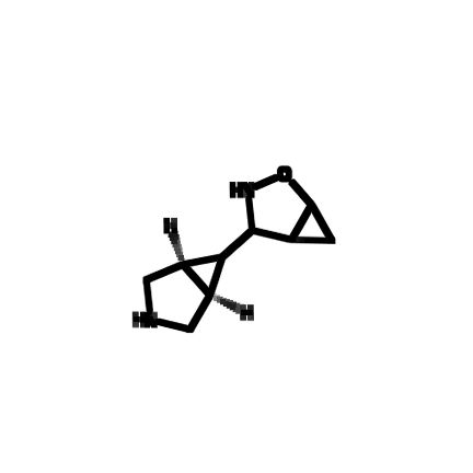 C1C2ONC(C3[C@H]4CNC[C@@H]34)C12